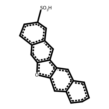 O=S(=O)(O)c1ccc2cc3oc4cc5ccccc5cc4c3cc2c1